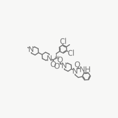 Cc1c(Cl)cc(C[C@@H](OC(=O)N2CCC(N3CCc4ccccc4NC3=O)CC2)C(=O)N2CCC(C3CCN(C)CC3)CC2)cc1Cl